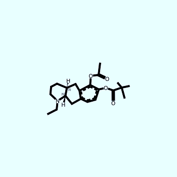 CCN1CCC[C@H]2Cc3c(ccc(OC(=O)C(C)(C)C)c3OC(C)=O)C[C@@H]21